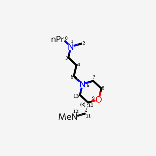 CCCN(C)CCCN1CCO[C@H](CNC)C1